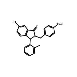 COc1ccc(CN2C(=O)c3cc(Cl)ncc3C2c2ccccc2C)cc1